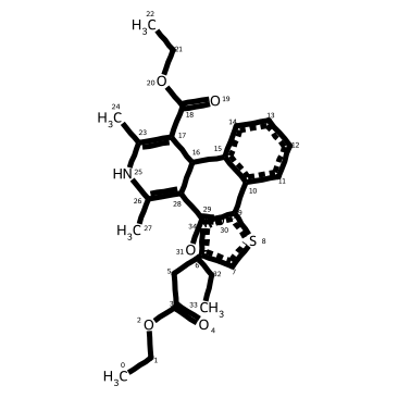 CCOC(=O)Cc1csc(-c2ccccc2C2C(C(=O)OCC)=C(C)NC(C)=C2C(=O)OCC)n1